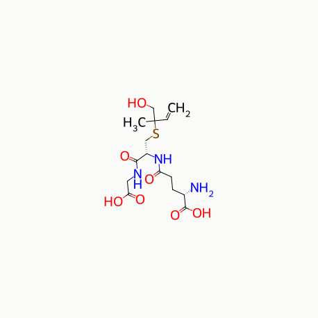 C=CC(C)(CO)SC[C@H](NC(=O)CC[C@H](N)C(=O)O)C(=O)NCC(=O)O